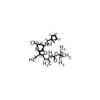 C#Cc1c(CC(C)NC(=O)OC(C)(C)C)oc2c(NCc3cccs3)cc(Cl)nc12